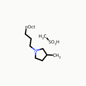 CCCCCCCCCCCN1CCC(C)C1.CS(=O)(=O)O